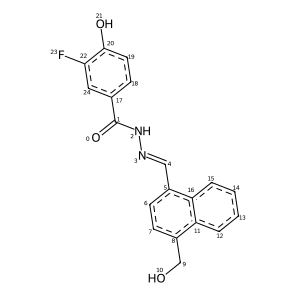 O=C(N/N=C/c1ccc(CO)c2ccccc12)c1ccc(O)c(F)c1